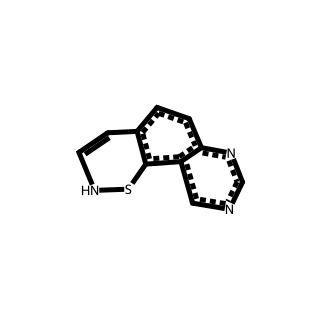 C1=Cc2ccc3ncncc3c2SN1